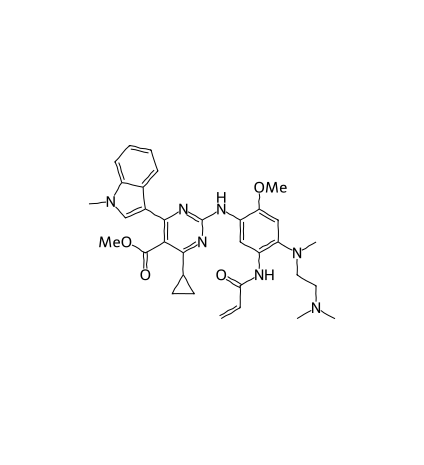 C=CC(=O)Nc1cc(Nc2nc(-c3cn(C)c4ccccc34)c(C(=O)OC)c(C3CC3)n2)c(OC)cc1N(C)CCN(C)C